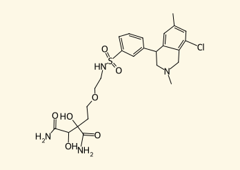 Cc1cc(Cl)c2c(c1)C(c1cccc(S(=O)(=O)NCCOCCC(O)(C(N)=O)C(O)C(N)=O)c1)CN(C)C2